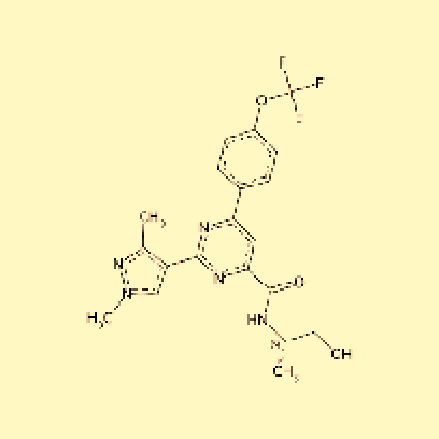 Cc1nn(C)cc1-c1nc(C(=O)N[C@@H](C)CO)cc(-c2ccc(OC(F)(F)F)cc2)n1